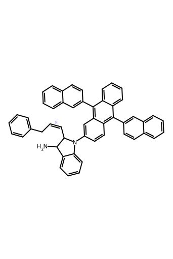 NC1c2ccccc2N(c2ccc3c(-c4ccc5ccccc5c4)c4ccccc4c(-c4ccc5ccccc5c4)c3c2)C1/C=C\Cc1ccccc1